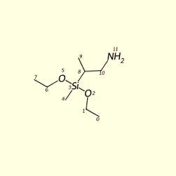 CCO[Si](C)(OCC)C(C)CN